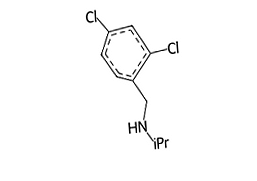 CC(C)NCc1ccc(Cl)cc1Cl